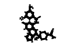 Cc1nc(N[C@H](C)c2cc(N)cc(C(F)(F)F)c2)c2cc(C3(C#N)CCN(C(=O)C(C)C)CC3)c3nccn3c2n1